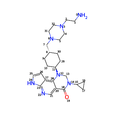 NCCN1CCN(C[C@H]2CC[C@H](N3CN(C4CC4)C(=O)c4cnc5[nH]ccc5c43)CC2)CC1